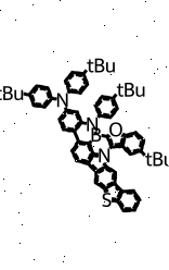 CC(C)(C)c1ccc(N2B3c4oc5ccc(C(C)(C)C)cc5c4-n4c5cc6c(cc5c5ccc(c3c54)-c3ccc(N(c4ccc(C(C)(C)C)cc4)c4ccc(C(C)(C)C)cc4)cc32)sc2ccccc26)cc1